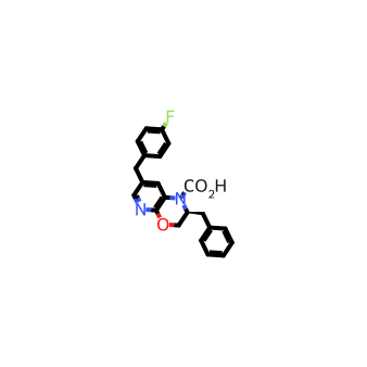 O=C(O)N1c2cc(Cc3ccc(F)cc3)cnc2OC[C@@H]1Cc1ccccc1